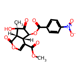 COC(=O)C1=COC(=O)[C@H]2[C@@H]1[C@H](OC(=O)c1ccc([N+](=O)[O-])cc1)C(=O)[C@]2(C)O